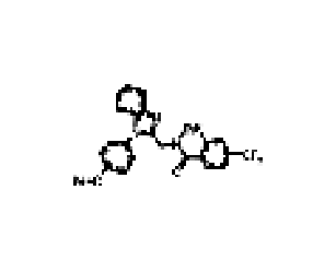 COc1ccc(-n2c(CN(C(=O)c3ccc(C(F)(F)F)cc3F)C(C)C)nc3ccccc32)cc1